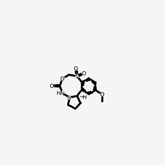 COc1ccc2c(c1)[C@H]1CCCN1NC(=O)OCS2(=O)=O